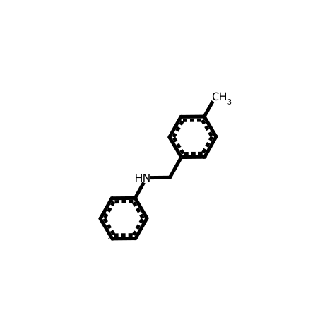 Cc1ccc(CNc2cc[c]cc2)cc1